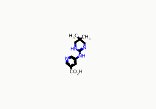 CC1(C)CN=C(Nc2cncc(C(=O)O)c2)NC1